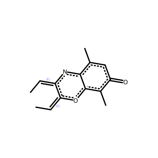 C/C=c1/nc2c(C)cc(=O)c(C)c-2o/c1=C/C